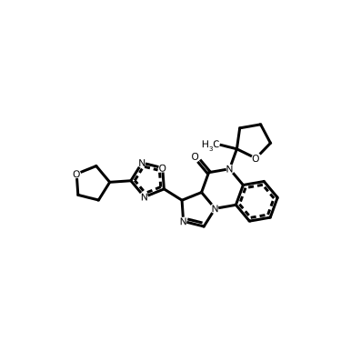 CC1(N2C(=O)C3C(c4nc(C5CCOC5)no4)N=CN3c3ccccc32)CCCO1